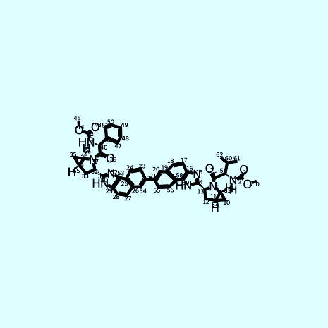 COC(=O)N[C@H](C(=O)N1[C@@H]2C[C@@H]2C[C@H]1c1nc2ccc3cc(-c4ccc5c(ccc6[nH]c([C@@H]7C[C@H]8C[C@H]8N7C(=O)[C@H](NC(=O)OC)c7ccccc7)nc65)c4)ccc3c2[nH]1)C(C)C